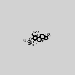 COCc1cc2c(cc1O[Si](C)(C)C(C)(C)C)CC[C@@H]1[C@@H]2CC[C@]2(C)C(=O)CC[C@@H]12